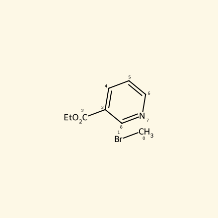 CBr.CCOC(=O)c1cccnc1